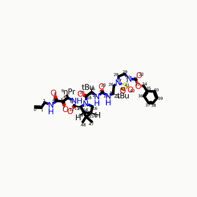 C=CCNC(=O)C(=O)C(CCC)NC(=O)[C@@H]1[C@@H]2[C@H](CN1C(=O)[C@@H](NC(=O)N[C@H](CN1CCN(C(=O)OCc3ccccc3)S1(=O)=O)C(C)(C)C)C(C)(C)C)C2(C)C